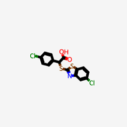 O=C(O)C(Sc1nc2cc(Cl)ccc2s1)c1ccc(Cl)cc1